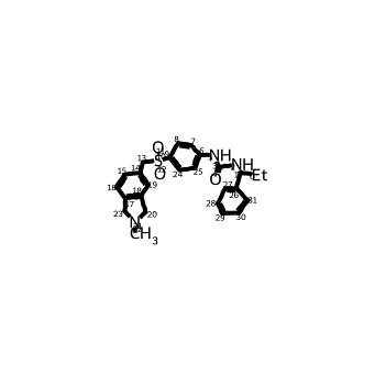 CCC(NC(=O)Nc1ccc(S(=O)(=O)Cc2ccc3c(c2)CN(C)C3)cc1)c1ccccc1